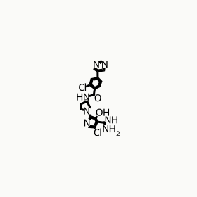 N=C(N)c1c(Cl)cnc(N2CC[C@@H](NC(=O)c3ccc(-c4cncnc4)cc3Cl)C2)c1O